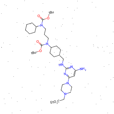 CCOC(=O)CN1CCN(c2cc(N)nc(NCC3CCC(N(CCCN(C(=O)OC(C)(C)C)C4CCCCC4)C(=O)OC(C)(C)C)CC3)n2)CC1